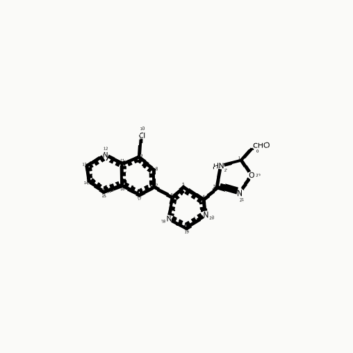 O=CC1NC(c2cc(-c3cc(Cl)c4ncccc4c3)ncn2)=NO1